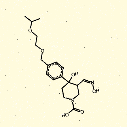 CC(C)OCCOCc1ccc(C2(O)CCN(C(=O)O)CC2/C=N\O)cc1